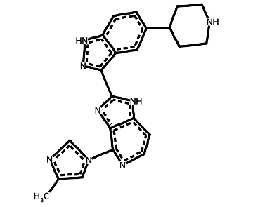 Cc1cn(-c2nccc3[nH]c(-c4n[nH]c5ccc(C6CCNCC6)cc45)nc23)cn1